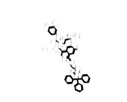 C[C@H](c1cnc(OCc2ncn(C(c3ccccc3)(c3ccccc3)c3ccccc3)n2)c2cc(F)c(F)cc12)N(CCCO)C(=O)Nc1ccc(F)c(Cl)c1